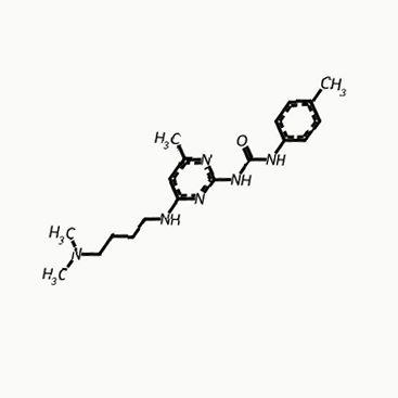 Cc1ccc(NC(=O)Nc2nc(C)cc(NCCCCN(C)C)n2)cc1